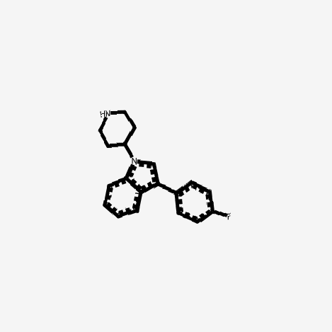 Fc1ccc(-c2cn(C3CCNCC3)c3ccccc23)cc1